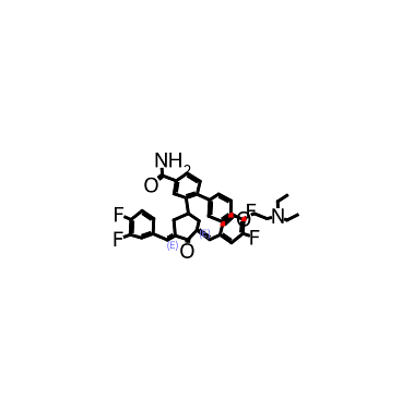 CCN(CC)CCOc1ccc(-c2ccc(C(N)=O)cc2C2C/C(=C\c3ccc(F)c(F)c3)C(=O)/C(=C/c3ccc(F)c(F)c3)C2)cc1